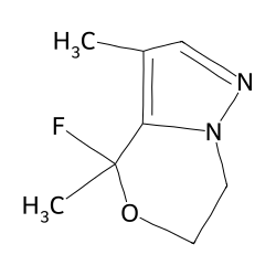 Cc1cnn2c1C(C)(F)OCC2